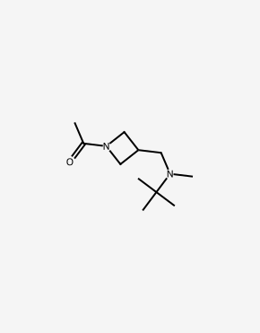 CC(=O)N1CC(CN(C)C(C)(C)C)C1